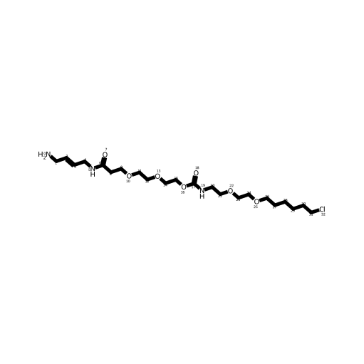 NC/C=C/CNC(=O)CCOCCOCCOC(=O)NCCOCCOCCCCCCCl